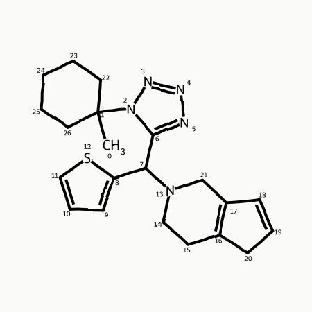 CC1(n2nnnc2C(c2cccs2)N2CCC3=C(C=CC3)C2)CCCCC1